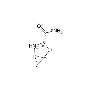 NC(=O)[C@@H]1CC2CC2N1